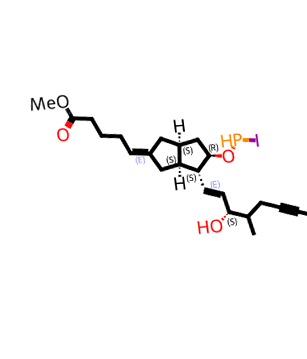 CC#CCC(C)[C@H](O)/C=C/[C@@H]1[C@H]2C/C(=C/CCCC(=O)OC)C[C@H]2C[C@H]1OPI